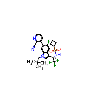 CC(C)(C)Cn1cc([C@H](NS(=O)(=O)C2CCC2)C(F)(F)F)c2cc(F)c(-c3cccnc3C#N)cc21